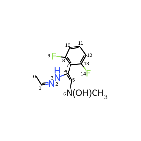 C/C=N\N/C(=C\N(C)O)c1c(F)cccc1F